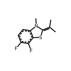 CC(C)=C1Sc2c(ccc(F)c2F)N1C